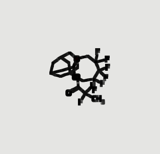 CC(F)(F)C(=O)OC12CC3CC(C1)C1(OCC(F)(F)C(F)(F)C(F)(F)CO1)C(C3)C2